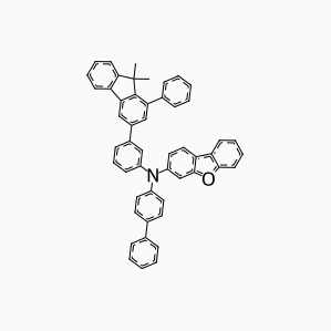 CC1(C)c2ccccc2-c2cc(-c3cccc(N(c4ccc(-c5ccccc5)cc4)c4ccc5c(c4)oc4ccccc45)c3)cc(-c3ccccc3)c21